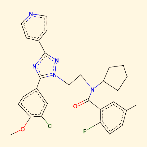 COc1ccc(-c2nc(-c3ccncc3)nn2CCN(C(=O)c2cc(C)ccc2F)C2CCCC2)cc1Cl